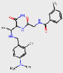 Cc1cc(N(C)C)ccc1CNC(C(NC(=O)CNC(=O)c1cccc(C(F)(F)F)c1)C(N)=O)C(C)(C)C